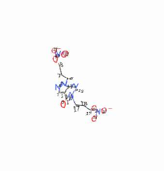 O=c1c2cnn(CCCO[N+](=O)[O-])c2ncn1CCCO[N+](=O)[O-]